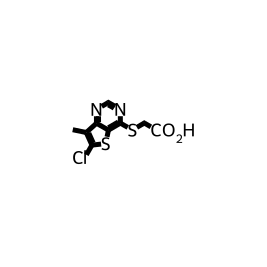 Cc1c(Cl)sc2c(SCC(=O)O)ncnc12